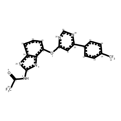 O=C(Nc1nc2c(Oc3cc(-c4ccc(C(F)(F)F)cc4)ncn3)cccc2s1)C(F)(F)F